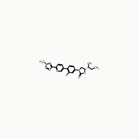 CCC(O)[C@H]1CN(c2ccc(-c3ccc(-c4nnn(C)n4)nc3)c(F)c2)C(=O)O1